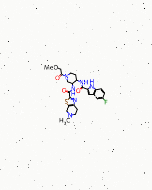 COCC(=O)N1CCC(NC(=O)c2cc3cc(F)ccc3[nH]2)C(NC(=O)c2nc3c(s2)CN(C)CC3)C1